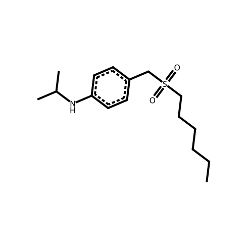 CCCCCCS(=O)(=O)Cc1ccc(NC(C)C)cc1